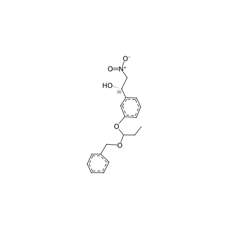 CCC(OCc1ccccc1)Oc1cccc([C@H](O)C[N+](=O)[O-])c1